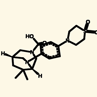 CC1(C)C[C@@H]2CN(C(=O)O)C[C@H]1N(c1ccc(N3CCS(=O)(=O)CC3)cc1)C2